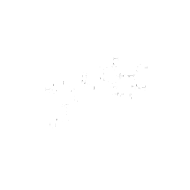 CCSCC(CO)NCC1CNc2c1nc[nH]c2=O